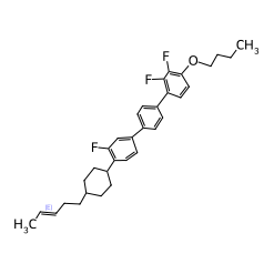 C/C=C/CCC1CCC(c2ccc(-c3ccc(-c4ccc(OCCCC)c(F)c4F)cc3)cc2F)CC1